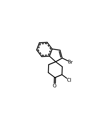 O=C1CCC2(CC1Cl)C(Br)=Cc1ccccc12